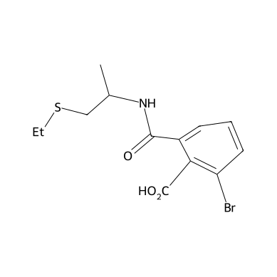 CCSCC(C)NC(=O)c1cccc(Br)c1C(=O)O